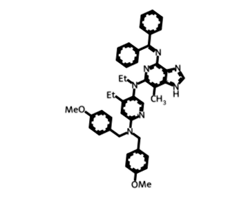 CCc1cc(N(Cc2ccc(OC)cc2)Cc2ccc(OC)cc2)ncc1N(CC)c1nc(N=C(c2ccccc2)c2ccccc2)c2nc[nH]c2c1C